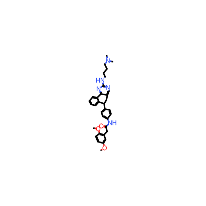 COc1ccc(OC)c(CC(=O)Nc2ccc(C3Cc4cnc(NCCCCN(C)C)nc4-c4ccccc43)cc2)c1